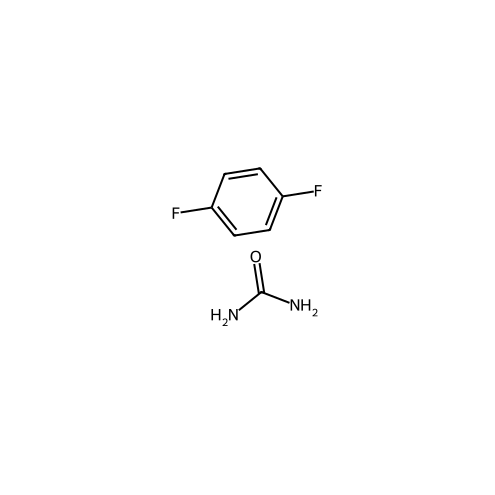 Fc1ccc(F)cc1.NC(N)=O